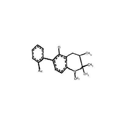 CC(=O)c1ccccc1-c1ccc2c(c1Cl)CC(C)C(C)(C)N2C